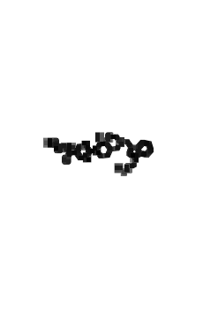 CCN(Cc1cn(CC)c2ccccc12)CC1CCN(c2ncc(C(=O)NOO)cn2)CC1